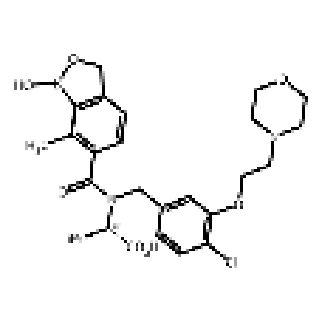 Cc1c(C(=O)N(Cc2ccc(Cl)c(OCCN3CCOCC3)c2)[C@H](C(=O)O)C(C)C)ccc2c1B(O)OC2